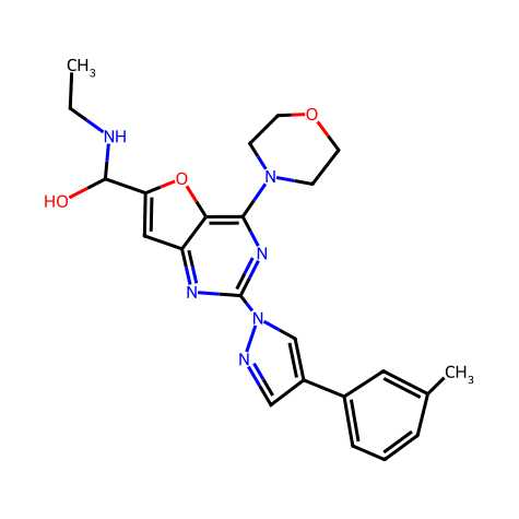 CCNC(O)c1cc2nc(-n3cc(-c4cccc(C)c4)cn3)nc(N3CCOCC3)c2o1